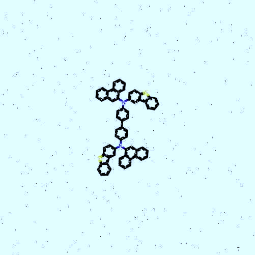 c1ccc2c(c1)cc(N(c1ccc(-c3ccc(N(c4ccc5sc6ccccc6c5c4)c4cc5ccccc5c5ccccc45)cc3)cc1)c1ccc3sc4ccccc4c3c1)c1ccccc12